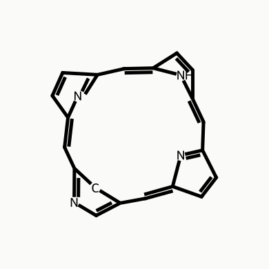 C1=CC2=NC1=CC1=CN=C(C=C3C=CC(=N3)C=c3ccc([nH]3)=C2)C1